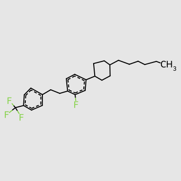 CCCCCCC1CCC(c2ccc(CCc3ccc(C(F)(F)F)cc3)c(F)c2)CC1